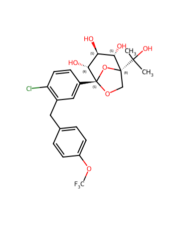 CC(C)(O)[C@]12CO[C@@](c3ccc(Cl)c(Cc4ccc(OC(F)(F)F)cc4)c3)(O1)[C@H](O)[C@@H](O)[C@@H]2O